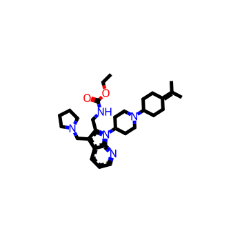 CCOC(=O)NCc1c(CN2CCCC2)c2cccnc2n1C1CCN(C2CCC(=C(C)C)CC2)CC1